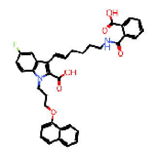 O=C(O)c1ccccc1C(=O)NCCCCC=Cc1c(C(=O)O)n(CCCOc2cccc3ccccc23)c2ccc(F)cc12